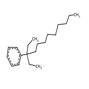 CCCCCCCCCC(CC)(CC)c1[c]cccc1